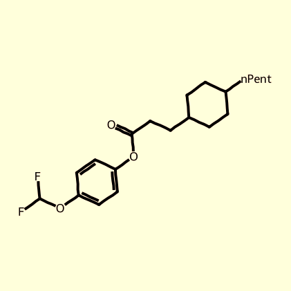 CCCCCC1CCC(CCC(=O)Oc2ccc(OC(F)F)cc2)CC1